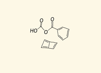 O=C(O)OC(=O)c1ccccc1.c1cc2ccc1-2